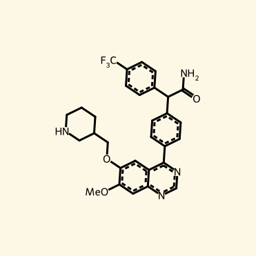 COc1cc2ncnc(-c3ccc(C(C(N)=O)c4ccc(C(F)(F)F)cc4)cc3)c2cc1OCC1CCCNC1